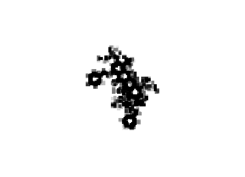 CN(C)Cc1cc(OCc2ccccc2)c2c(c1C(F)(F)F)C[C@H]1C[C@H]3[C@H](N(C)C)c4onc(OCc5ccccc5)c4C(=O)[C@@]3(O[Si](C)(C)C(C)(C)C)C(O)=C1C2=O